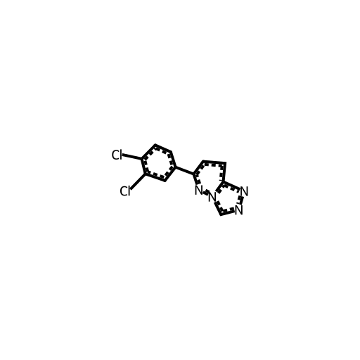 Clc1ccc(-c2ccc3nncn3n2)cc1Cl